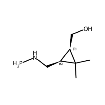 CC1(C)[C@H](CO)[C@@H]1CNP